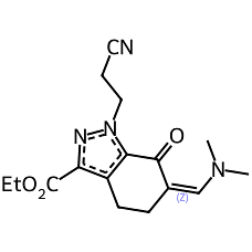 CCOC(=O)c1nn(CCC#N)c2c1CC/C(=C/N(C)C)C2=O